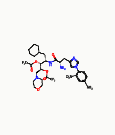 N[C@@H](Cc1cn(-c2ccc([N+](=O)[O-])cc2[N+](=O)[O-])cn1)C(=O)N[C@@H](CC1CCCCC1)[C@@H](OC(=O)C(F)(F)F)[C@H](CN1CCOCC1)OC(=O)C(F)(F)F